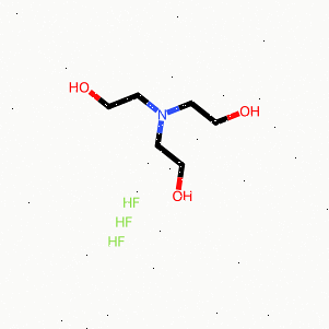 F.F.F.OCCN(CCO)CCO